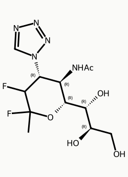 CC(=O)N[C@H]1[C@H]([C@H](O)[C@H](O)CO)OC(C)(F)C(F)[C@@H]1n1cnnn1